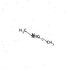 CCCCCCCCc1cnc(-c2ccc(OCCC[C@H]3CC[C@H](CCCCC)CC3)cc2)nc1